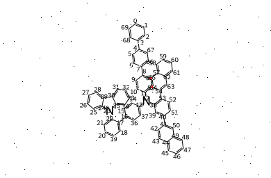 c1ccc(-c2ccc(-c3ccc(N(c4ccc(-c5ccccc5-n5c6ccccc6c6ccccc65)cc4)c4cc(-c5ccc6ccccc6c5)ccc4-c4ccc5ccccc5c4)cc3)cc2)cc1